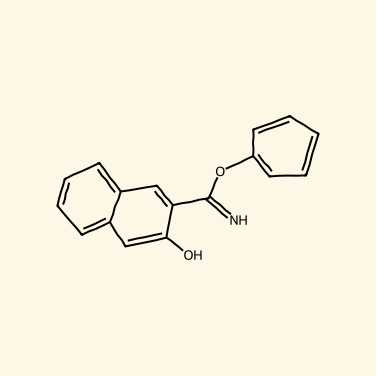 N=C(Oc1ccccc1)c1cc2ccccc2cc1O